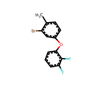 Cc1ccc(Oc2cccc(F)c2F)cc1Br